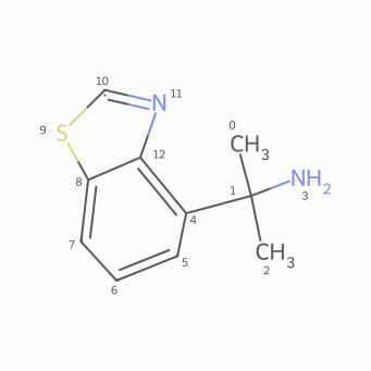 CC(C)(N)c1cccc2s[c]nc12